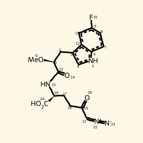 CO[C@@H](Cc1c[nH]c2ccc(F)cc12)C(=O)N[C@@H](CCC(=O)C=[N+]=[N-])C(=O)O